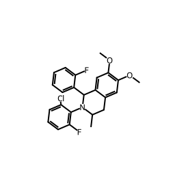 COc1cc2c(cc1OC)C(c1ccccc1F)N(c1c(F)cccc1Cl)C(C)C2